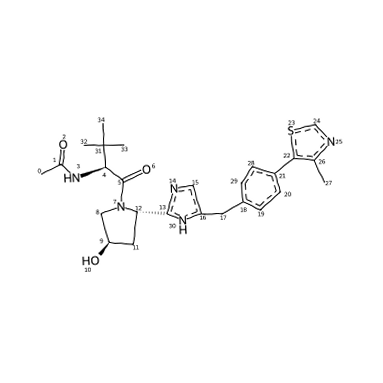 CC(=O)N[C@H](C(=O)N1C[C@H](O)C[C@H]1c1ncc(Cc2ccc(-c3scnc3C)cc2)[nH]1)C(C)(C)C